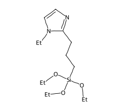 CCO[Si](CCCc1nccn1CC)(OCC)OCC